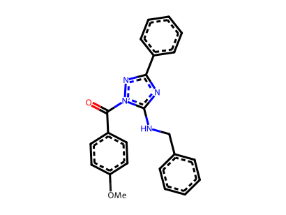 COc1ccc(C(=O)n2nc(-c3ccccc3)nc2NCc2ccccc2)cc1